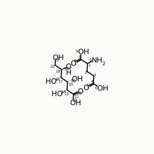 NC(CCC(=O)O)C(=O)O.O=C(O)[C@H](O)[C@@H](O)[C@H](O)[C@H](O)CO